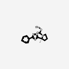 CC(C)(C)OC(=O)N1CCC[C@@]1(C)c1nc(-c2ccccc2)no1